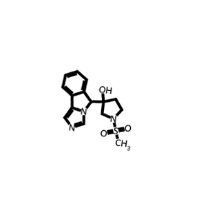 CS(=O)(=O)N1CCC(O)(C2c3ccccc3-c3cncn32)C1